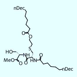 CCCCCCCCCCCCCCCC(=O)N[C@@H](CSCCOC(=O)CCCCCCCCCCCCCCC)C(=O)N[C@@H](CO)C(=O)OC